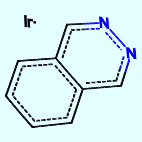 [Ir].c1ccc2cnncc2c1